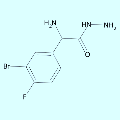 NNC(=O)C(N)c1ccc(F)c(Br)c1